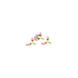 C.O=S(O)F.O=S(O)F.O=S(O)F.[LiH]